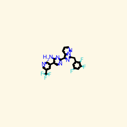 Nc1nc(-c2nc(Cc3cc(F)cc(F)c3F)n3ncccc23)ncc1-c1cncc(C(F)(F)F)c1